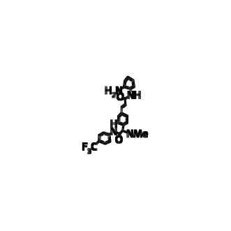 CNC(C(=O)Nc1ccc(C(F)(F)F)cc1)c1ccc(/C=C/C(=O)Nc2ccccc2N)cc1